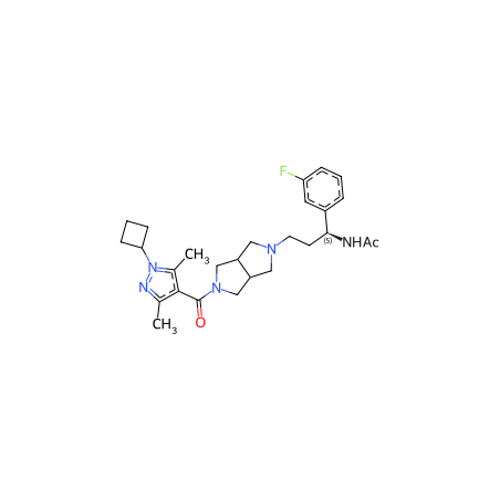 CC(=O)N[C@@H](CCN1CC2CN(C(=O)c3c(C)nn(C4CCC4)c3C)CC2C1)c1cccc(F)c1